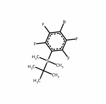 [B]c1c(F)c(F)c([Si](C)(C)C(C)(C)C)c(F)c1F